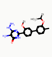 CCOc1cc(-c2ccc(C)c(OC(CC)C(=O)O)c2)ccc1-c1nc(NN)c(N)c(=O)[nH]1